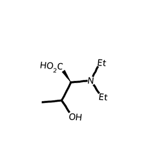 CCN(CC)[C@H](C(=O)O)C(C)O